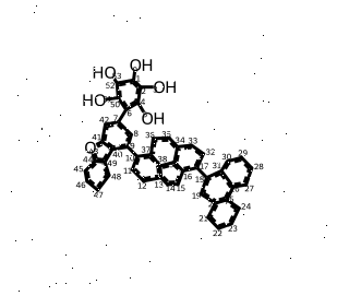 Oc1c(O)c(O)c(-c2cc(-c3ccc4ccc5c(-c6cc7ccccc7c7ccccc67)ccc6ccc3c4c65)c3c(c2)oc2ccccc23)c(O)c1O